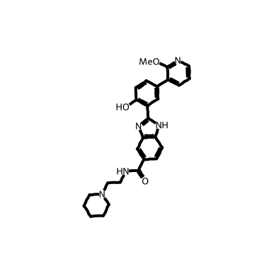 COc1ncccc1-c1ccc(O)c(-c2nc3cc(C(=O)NCCN4CCCCC4)ccc3[nH]2)c1